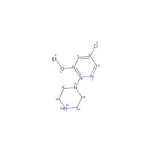 CCOc1cc(Cl)cnc1N1CCNCC1